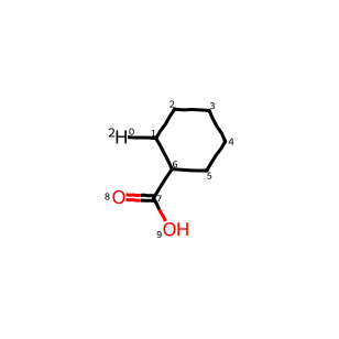 [2H]C1CCCCC1C(=O)O